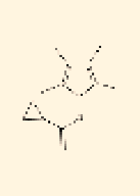 C=C(SC1C(C)=C(C)C(C)=C1C)C1CC1